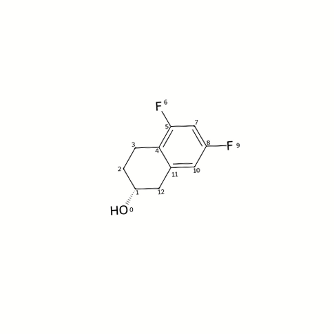 O[C@@H]1CCc2c(F)cc(F)cc2C1